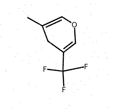 CC1=COC=C(C(F)(F)F)C1